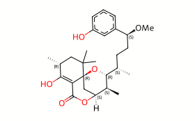 CO[C@@H](CC[C@H](C)[C@H]1O[C@@]23C[C@H](OC(=O)C2=C(O)[C@H](C)CC3(C)C)[C@@H]1C)c1cccc(O)c1